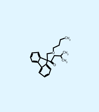 CCCCOCC1(C(=O)CC(C)C)c2ccccc2-c2ccccc21